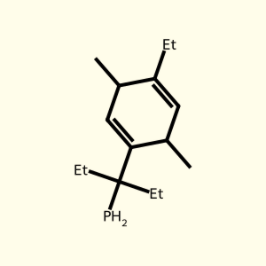 CCC1=CC(C)C(C(P)(CC)CC)=CC1C